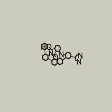 O=C1c2c(cccc2-n2c3ccccc3c3cc(-c4cncnc4)ccc32)C(O)N1c1c(-c2ccccc2)cccc1-c1ccccc1